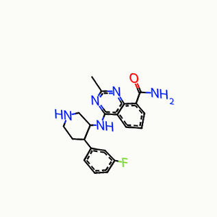 Cc1nc(NC2CNCCC2c2cccc(F)c2)c2cccc(C(N)=O)c2n1